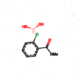 COC(=O)c1ccccc1Cl.OBO